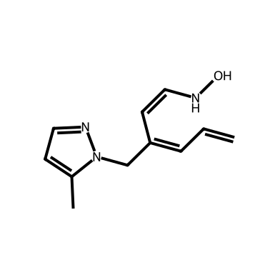 C=C/C=C(\C=C/NO)Cn1nccc1C